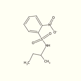 CCC(C)NS(=O)(=O)c1ccccc1[N+](=O)[O-]